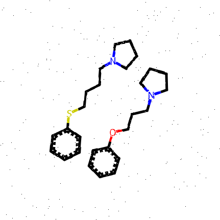 c1ccc(OCCCN2CCCC2)cc1.c1ccc(SCCCCN2CCCC2)cc1